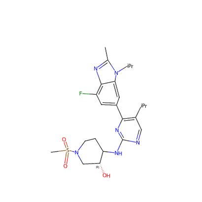 Cc1nc2c(F)cc(-c3nc(NC4CCN(S(C)(=O)=O)C[C@H]4O)ncc3C(C)C)cc2n1C(C)C